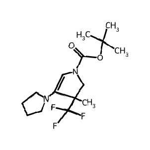 CC(C)(C)OC(=O)N1C=C(N2CCCC2)C(C)(C(F)(F)F)C1